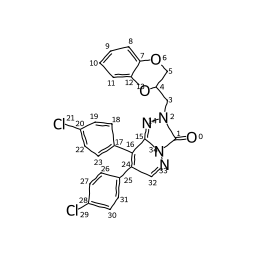 O=c1n(CC2COc3ccccc3O2)nc2c(-c3ccc(Cl)cc3)c(-c3ccc(Cl)cc3)cnn12